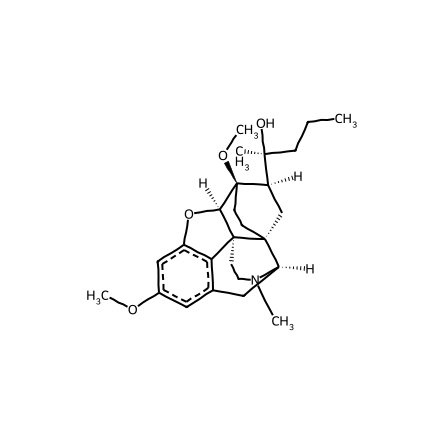 CCC[C@](C)(O)[C@H]1C[C@@]23CC[C@]1(OC)[C@@H]1Oc4cc(OC)cc5c4[C@@]12CCN(C)[C@@H]3C5